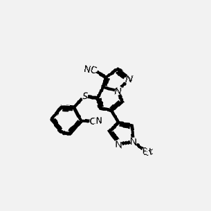 CCn1cc(-c2cc(Sc3ccccc3C#N)c3c(C#N)cnn3c2)cn1